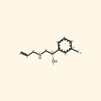 C=CCNC[C@@H](O)c1cccc(F)c1